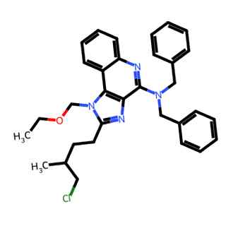 CCOCn1c(CCC(C)CCl)nc2c(N(Cc3ccccc3)Cc3ccccc3)nc3ccccc3c21